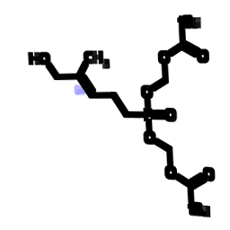 C/C(=C\CCP(=O)(OCOC(=O)C(C)(C)C)OCOC(=O)C(C)(C)C)CO